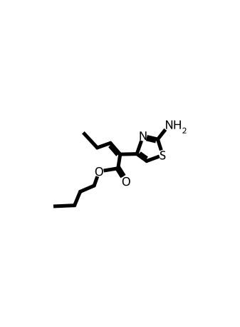 CCC=C(C(=O)OCCCC)c1csc(N)n1